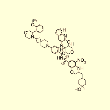 CC(C)Oc1ccccc1[C@@H]1COCCN1C1CC2(CCN(c3ccc(C(=O)NS(=O)(=O)c4cc5c(c([N+](=O)[O-])c4)N[C@@H](CC4CCC(C)(O)CC4)CO5)c(N4c5cc6cc[nH]c6nc5O[C@H]5COCC[C@@H]54)c3)CC2)C1